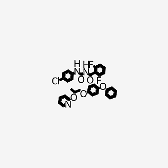 CC(COc1ccc(Oc2ccccc2)cc1)Oc1ccccn1.O=C(NC(=O)c1c(F)cccc1F)Nc1ccc(Cl)cc1